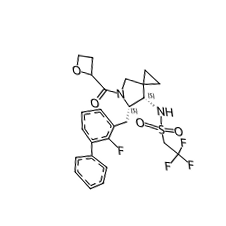 O=C(C1CCO1)N1CC2(CC2)[C@H](NS(=O)(=O)CC(F)(F)F)[C@@H]1Cc1cccc(-c2ccccc2)c1F